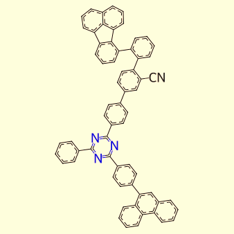 N#Cc1cc(-c2ccc(-c3nc(-c4ccccc4)nc(-c4ccc(-c5cc6ccccc6c6ccccc56)cc4)n3)cc2)ccc1-c1ccccc1-c1cccc2c1-c1cccc3cccc-2c13